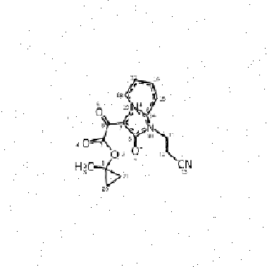 CC1(OC(=O)C(=O)c2c([O-])n(CCC#N)c3cccc[n+]23)CC1